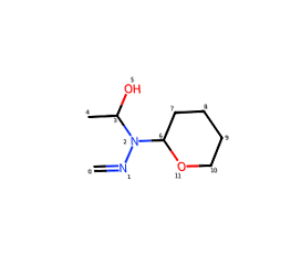 C=NN(C(C)O)C1CCCCO1